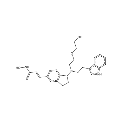 O=C(C=Cc1ccc2c(c1)CCC2N(CCOCCO)CCc1c[nH]c2ccccc12)NO